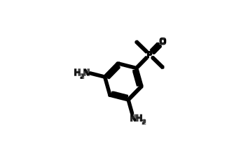 CP(C)(=O)c1cc(N)cc(N)c1